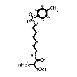 CCCCCCCCC(CCCCCC)C(=O)OCCCCCCOS(=O)(=O)c1ccc(C)cc1